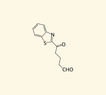 O=CCCCC(=O)c1nc2ccccc2s1